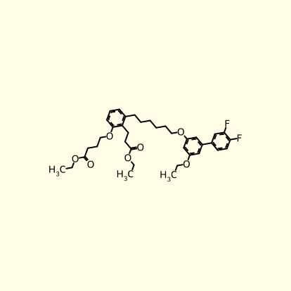 CCOC(=O)CCCOc1cccc(CCCCCCOc2cc(OCC)cc(-c3ccc(F)c(F)c3)c2)c1CCC(=O)OCC